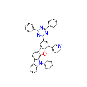 c1ccc(-c2nc(-c3ccccc3)nc(-c3cc(-c4cccnc4)c4oc5c(ccc6c7ccccc7n(-c7ccccc7)c65)c4c3)n2)cc1